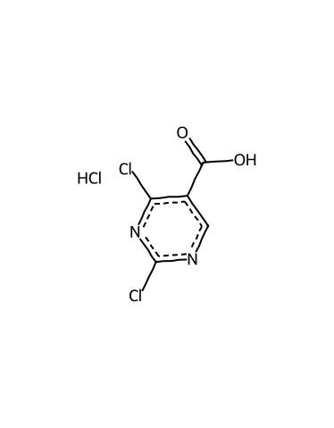 Cl.O=C(O)c1cnc(Cl)nc1Cl